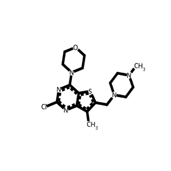 Cc1c(CN2CCN(C)CC2)sc2c(N3CCOCC3)nc(Cl)nc12